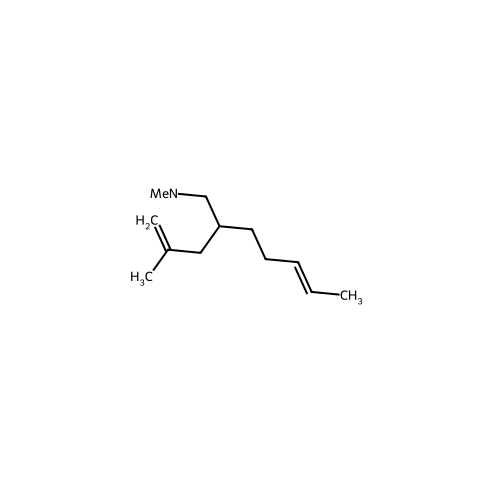 C=C(C)CC(CC/C=C/C)CNC